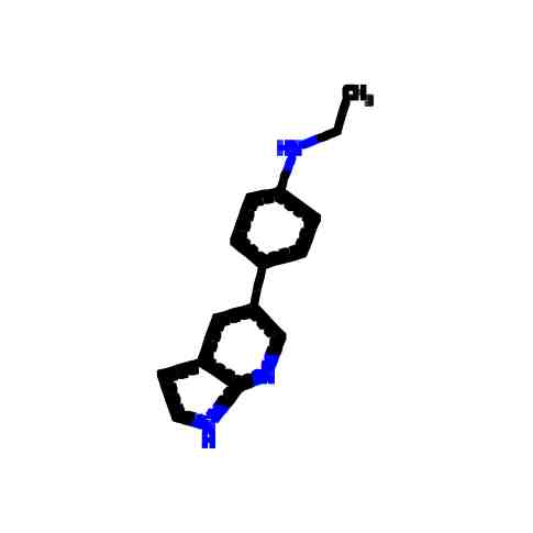 CCNc1ccc(-c2cnc3[nH]ccc3c2)cc1